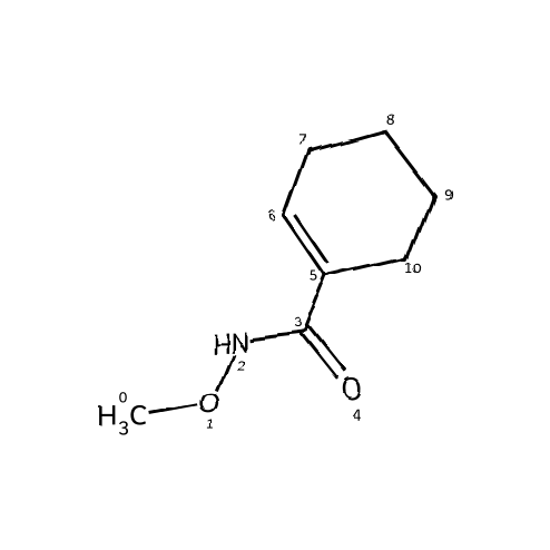 CONC(=O)C1=CCCCC1